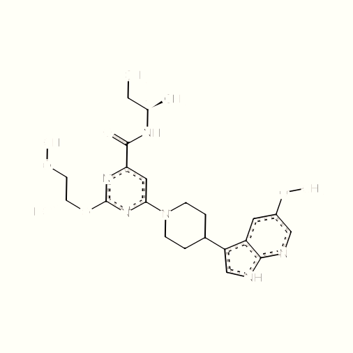 CC[C@@H](C)NC(=O)c1cc(N2CCC(c3c[nH]c4ncc(OC)cc34)CC2)nc(O[C@H](C)COC)n1